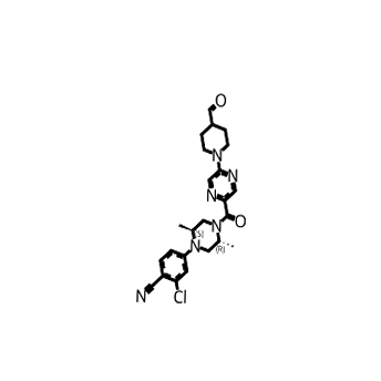 C[C@@H]1CN(c2ccc(C#N)c(Cl)c2)[C@@H](C)CN1C(=O)c1cnc(N2CCC(C=O)CC2)cn1